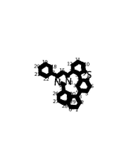 c1ccc(-c2ccc3sc4cccc(-c5cc(-c6ccccc6)nc(-c6ccccc6)n5)c4c3c2)cc1